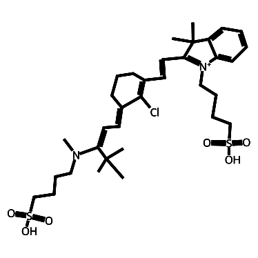 CN(CCCCS(=O)(=O)O)/C(=C/C=C1\CCCC(/C=C/C2=[N+](CCCCS(=O)(=O)O)c3ccccc3C2(C)C)=C1Cl)C(C)(C)C